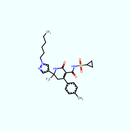 Cc1ccc(C2=C(C(=O)NS(=O)(=O)C3CC3)C(=O)NC(c3cnn(CCCCCC(F)(F)F)c3)(C(F)(F)F)C2)cc1